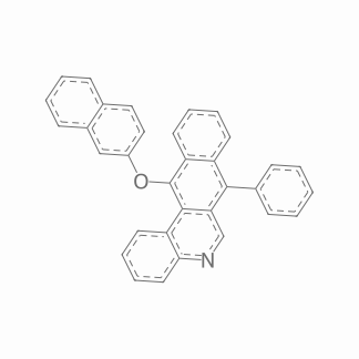 c1ccc(-c2c3ccccc3c(Oc3ccc4ccccc4c3)c3c2cnc2ccccc23)cc1